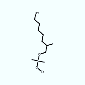 CCO[Si](C)(C)OCC(C)CCCCCC(C)C